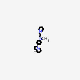 CN(CCCN1CCCCC1)c1ccc([C@H]2CC[C@H]3CCCCN32)cc1